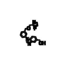 Cn1ccnc1COCc1cccc(-n2cnc3cc(CO)ccc32)c1